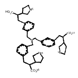 O=C(O)C(Cc1cccc(CN(Cc2cccc(CC(C(=O)O)C3CCNC3)c2)Cc2cccc(CC(C(=O)O)C3CCNC3)c2)c1)C1CCNC1